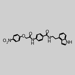 O=C(COc1ccc([N+](=O)[O-])cc1)Nc1ccc(C(=O)NCCc2cccc3[nH]ccc23)cc1